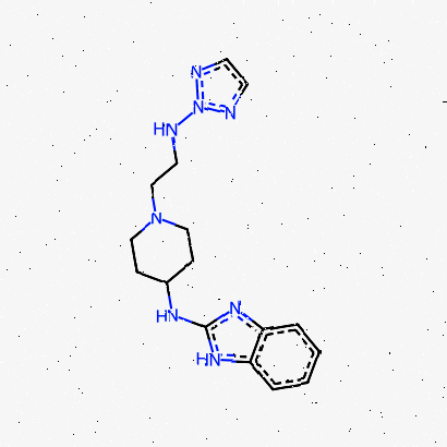 c1ccc2[nH]c(NC3CCN(CCNn4nccn4)CC3)nc2c1